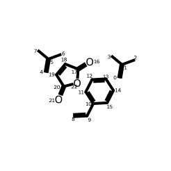 C=C(C)C.C=C(C)C.C=Cc1ccccc1.O=C1C=CC(=O)O1